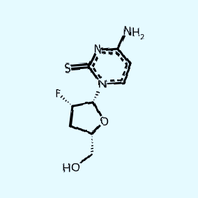 Nc1ccn([C@@H]2O[C@H](CO)C[C@@H]2F)c(=S)n1